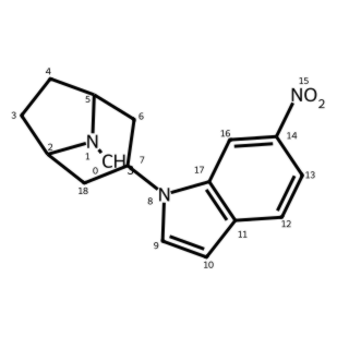 CN1C2CCC1CC(n1ccc3ccc([N+](=O)[O-])cc31)C2